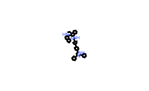 C1=Cc2c(c3c(c4ccccc24)NC(c2ccc(-c4ccc(C5=CC(c6ccccc6)=NC(c6ccccc6)N5)cc4)cc2)N3c2cccc3ccccc23)CN1